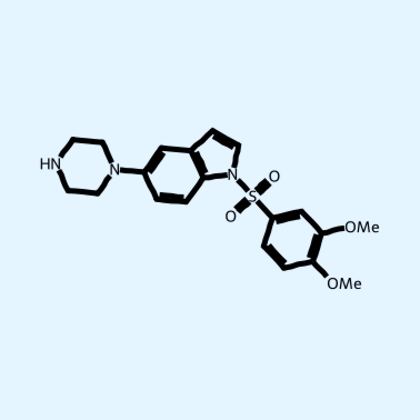 COc1ccc(S(=O)(=O)n2ccc3cc(N4CCNCC4)ccc32)cc1OC